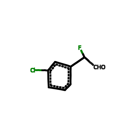 O=CC(F)c1cccc(Cl)c1